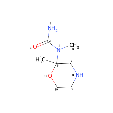 CN(C(N)=O)C1(C)CNCCO1